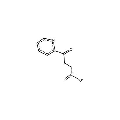 O=C(CC[N+](=O)[O-])c1ccccn1